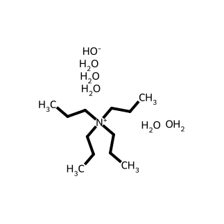 CCC[N+](CCC)(CCC)CCC.O.O.O.O.O.[OH-]